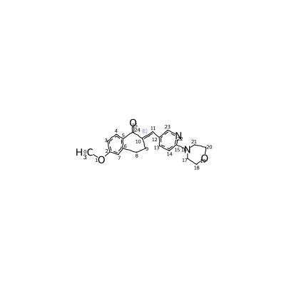 COc1ccc2c(c1)CC/C(=C\c1ccc(N3CCOCC3)nc1)C2=O